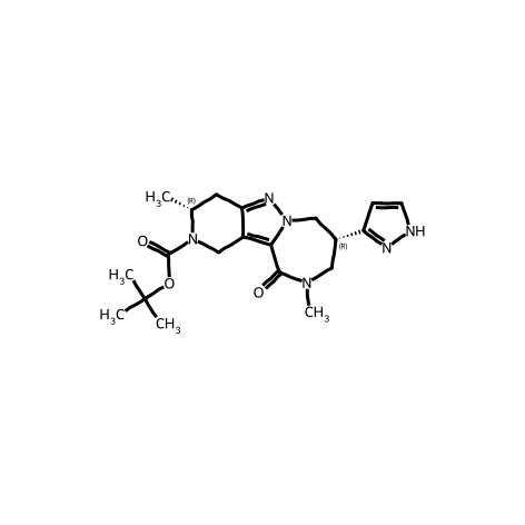 C[C@@H]1Cc2nn3c(c2CN1C(=O)OC(C)(C)C)C(=O)N(C)C[C@@H](c1cc[nH]n1)C3